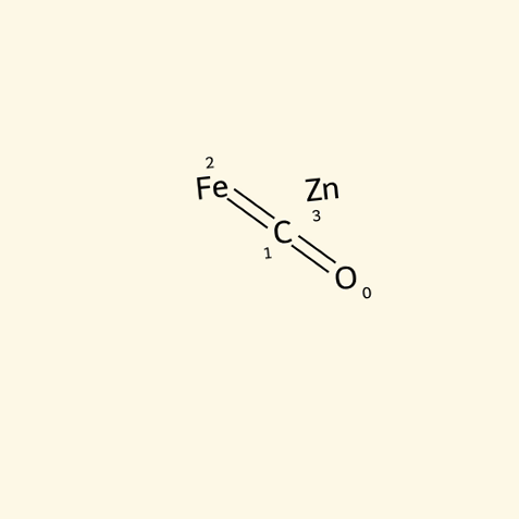 O=[C]=[Fe].[Zn]